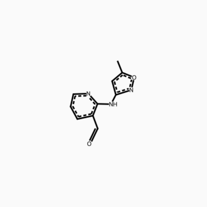 Cc1cc(Nc2ncccc2C=O)no1